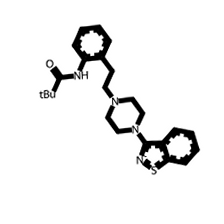 CC(C)(C)C(=O)Nc1ccccc1CCN1CCN(c2nsc3ccccc23)CC1